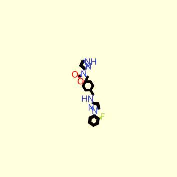 O=C1OC2(CCC(CNc3ccn(-c4ccccc4F)n3)CC2)CN1c1cc[nH]n1